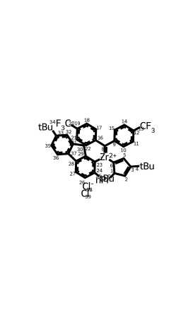 CCCC1C=C(C(C)(C)C)C=[C]1[Zr+2](=[C](c1ccc(C(F)(F)F)cc1)c1ccc(C(F)(F)F)cc1)[c]1c(C(C)(C)C)ccc2c1Cc1cc(C(C)(C)C)ccc1-2.[Cl-].[Cl-]